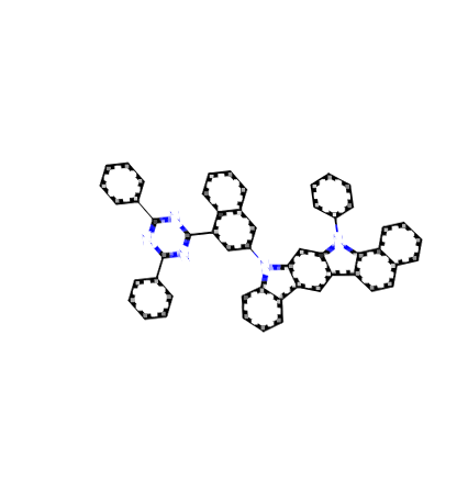 c1ccc(-c2nc(-c3ccccc3)nc(-c3cc(-n4c5ccccc5c5cc6c7ccc8ccccc8c7n(-c7ccccc7)c6cc54)cc4ccccc34)n2)cc1